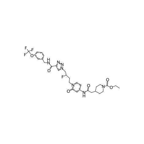 CCOC(=O)N1CCC(CC(=O)Nc2ccn(CCC(F)Cn3cc(C(=O)NCc4cccc(OC(F)(F)F)c4)nn3)c(=O)c2)CC1